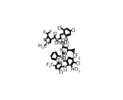 CON(C(=O)c1cn(C)nc1C(F)F)C(C)Cc1c(Cl)cc(Cl)cc1Cl.Cc1cc(C2CC2)nc(Nc2ccccc2)n1.O=[N+]([O-])c1cc(C(F)(F)F)c(Cl)c([N+](=O)[O-])c1Nc1ncc(C(F)(F)F)cc1Cl